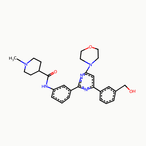 CN1CCC(C(=O)Nc2cccc(-c3nc(-c4cccc(CO)c4)cc(N4CCOCC4)n3)c2)CC1